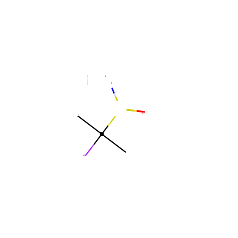 CC(C)(I)[S+](N)[O-]